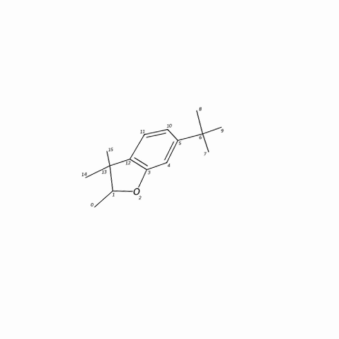 CC1Oc2cc(C(C)(C)C)ccc2C1(C)C